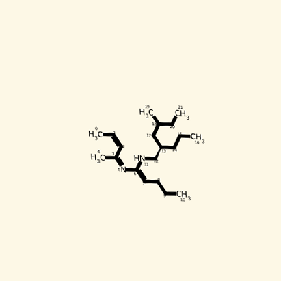 C\C=C/C(C)=N\C(=C\CCC)NC[C@H](CCC)CC(C)CC